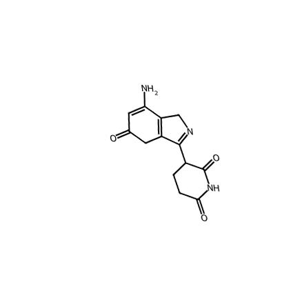 NC1=CC(=O)CC2=C1CN=C2C1CCC(=O)NC1=O